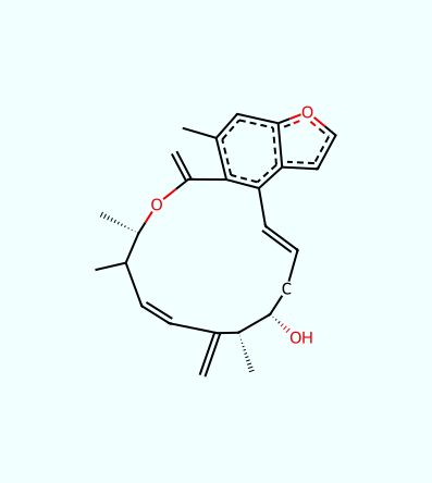 C=C1O[C@@H](C)C(C)/C=C\C(=C)[C@@H](C)[C@@H](O)C/C=C/c2c1c(C)cc1occc21